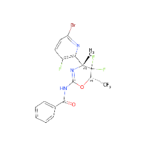 C[C@]1(c2nc(Br)ccc2F)N=C(NC(=O)c2ccccc2)O[C@@H](C(F)(F)F)C1(F)F